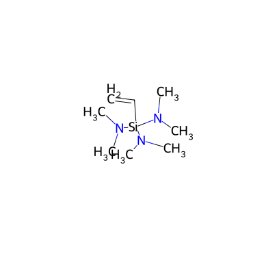 C=C[Si](N(C)C)(N(C)C)N(C)C